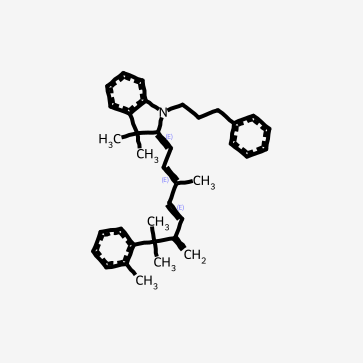 C=C(/C=C/C(C)=C/C=C1/N(CCCc2ccccc2)c2ccccc2C1(C)C)C(C)(C)c1ccccc1C